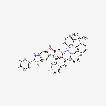 CC1(C)c2ccccc2-c2c(N(c3ccc4c(c3)oc3cc5nc(-c6ccccc6)oc5cc34)c3ccccc3-c3ccc4ccccc4c3)cccc21